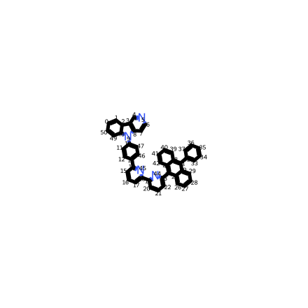 C1=CC2c3cnccc3N(c3ccc(-c4cccc(-c5cccc(-c6c7ccccc7c(-c7ccccc7)c7ccccc67)n5)n4)cc3)C2C=C1